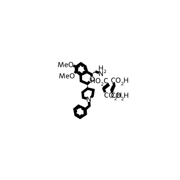 COc1ccc2c(c1OC)C[C@@H](C1CCN(Cc3ccccc3)CC1)O[C@H]2CN.O=C(O)/C=C/C(=O)O.O=C(O)/C=C/C(=O)O